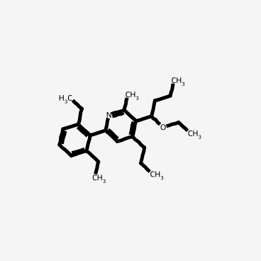 CCCc1cc(-c2c(CC)cccc2CC)nc(C)c1C(CCC)OCC